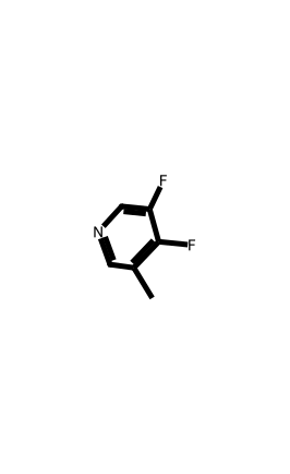 Cc1cncc(F)c1F